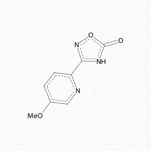 COc1ccc(-c2noc(=O)[nH]2)nc1